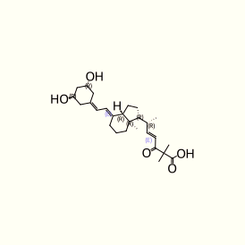 C[C@H](/C=C/C(=O)C(C)(C)C(=O)O)[C@H]1CC[C@H]2/C(=C/C=C3C[C@@H](O)C[C@H](O)C3)CCC[C@]12C